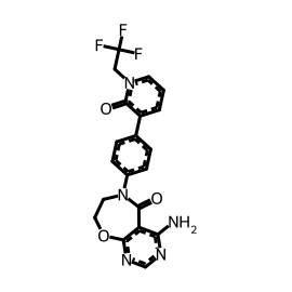 Nc1ncnc2c1C(=O)N(c1ccc(-c3cccn(CC(F)(F)F)c3=O)cc1)CCO2